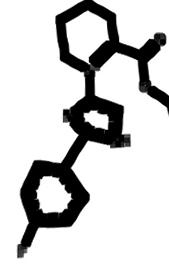 CCOC(=O)C1=[N+](c2c[nH]c(-c3ccc(F)cc3)n2)CCCC1